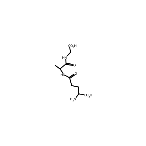 [CH2]C(NC(=O)CCC(N)C(=O)O)C(=O)NCC(=O)O